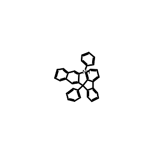 c1ccc(Nc2cc3ccccc3cc2C2(c3ccccc3)c3ccccc3-c3ccccc32)cc1